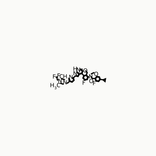 CC1CN(Cc2ccc(-c3cc4c(-c5cc(F)cc(N6CCOc7cc(C8CC8)cc(F)c7C6=O)c5CO)ccnc4[nH]3)nc2)CC(C)N1CC(F)F